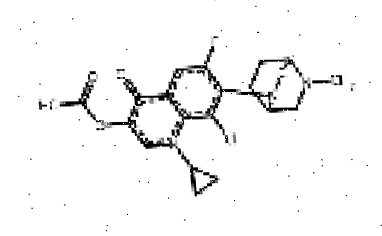 CN1CC2CCC1CN2c1c(F)cc2c(=O)c(OC(=O)O)cn(C3CC3)c2c1Cl